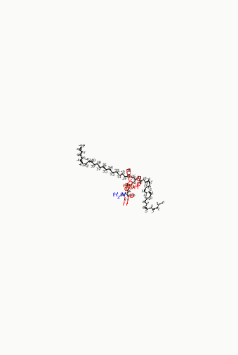 CC/C=C\C/C=C\C/C=C\C/C=C\C/C=C\C/C=C\CCC(=O)O[C@H](COC(=O)CCCCCCCCCCC/C=C\C/C=C\CCCCC)COP(=O)(O)OC[C@H](N)C(=O)O